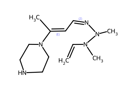 C=CN(C)N(C)/N=C\C=C(/C)N1CCNCC1